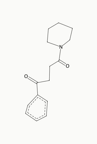 O=C(CCC(=O)N1CCCCC1)c1ccccc1